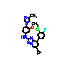 COc1cc(Nc2nc3c(-c4ccc(F)c(Cl)c4)cc(C4CC4)cn3n2)ccc1-n1cnc(C)c1